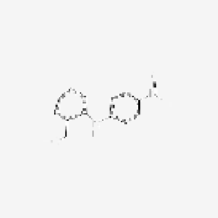 O=[N+]([O-])c1ccc(Nc2ccccc2CO)cc1